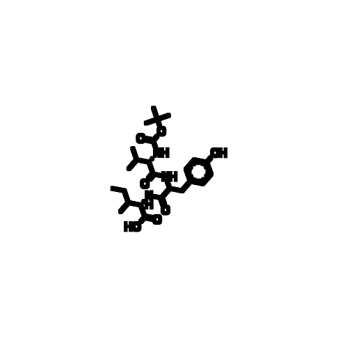 CCC(C)[C@H](NC(=O)C(Cc1ccc(O)cc1)NC(=O)[C@@H](NC(=O)OC(C)(C)C)C(C)C)C(=O)O